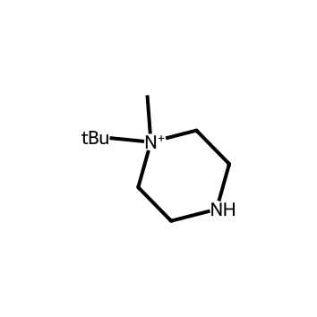 CC(C)(C)[N+]1(C)CCNCC1